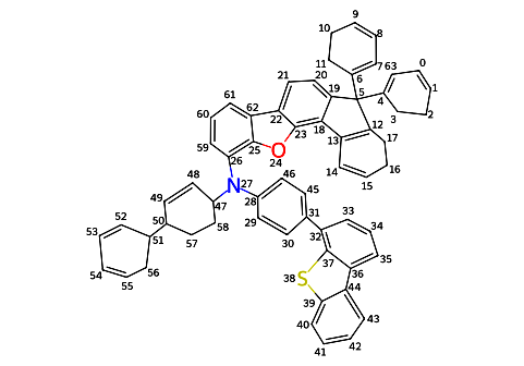 C1=CCCC(C2(C3=CC=CCC3)C3=C(C=CCC3)c3c2ccc2c3oc3c(N(c4ccc(-c5cccc6c5sc5ccccc56)cc4)C4C=CC(C5C=CC=CC5)CC4)cccc32)=C1